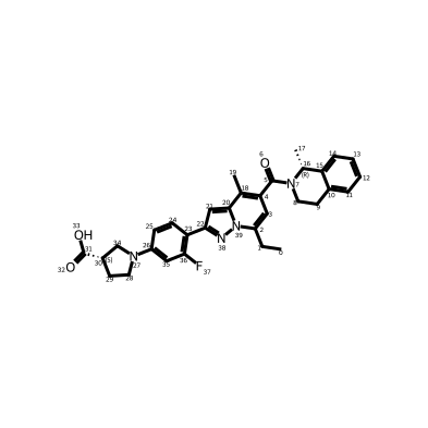 CCc1cc(C(=O)N2CCc3ccccc3[C@H]2C)c(C)c2cc(-c3ccc(N4CC[C@H](C(=O)O)C4)cc3F)nn12